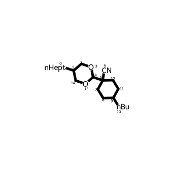 CCCCCCCC1COC(C2(C#N)CCC(CCCC)CC2)OC1